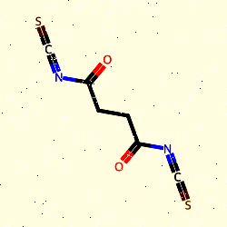 O=C(CCC(=O)N=C=S)N=C=S